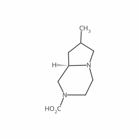 CC1C[C@@H]2CN(C(=O)O)CCN2C1